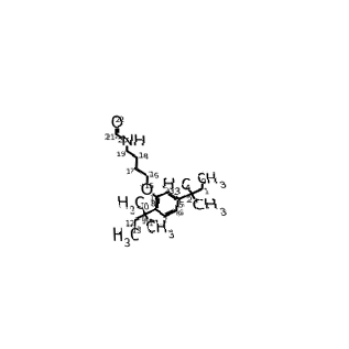 CCC(C)(C)c1ccc(C(C)(C)CC)c(OCCCCN[C]=O)c1